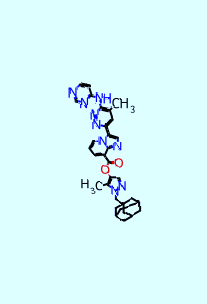 Cc1cc(-c2cnc3c(C(=O)Oc4cnn(CC56CC7CC(CC(C7)C5)C6)c4C)cccn23)nnc1Nc1ccncn1